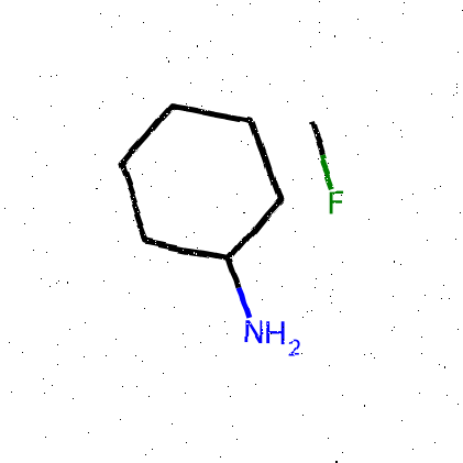 CF.NC1CCCCC1